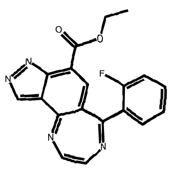 CCOC(=O)c1cc2c(-c3ccccc3F)nccnc2c2cnnc12